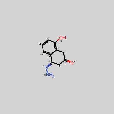 NN=C1CC(=O)Cc2c(O)cccc21